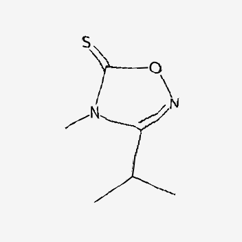 CC(C)c1noc(=S)n1C